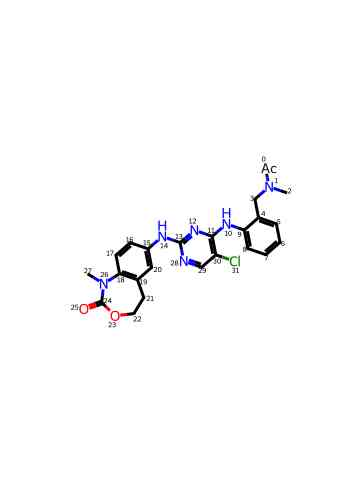 CC(=O)N(C)Cc1ccccc1Nc1nc(Nc2ccc3c(c2)CCOC(=O)N3C)ncc1Cl